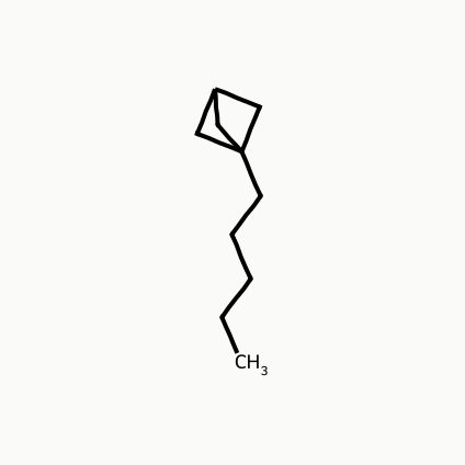 CCCCCC12CC(C1)C2